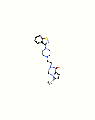 Cc1ccc2n1CCN(CCN1CCN(c3nsc4ccccc34)CC1)C2=O